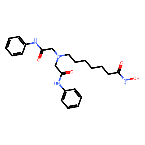 O=C(CCCCCCN(CC(=O)Nc1ccccc1)CC(=O)Nc1ccccc1)NO